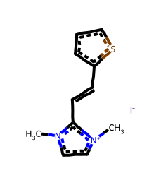 Cn1cc[n+](C)c1C=Cc1cccs1.[I-]